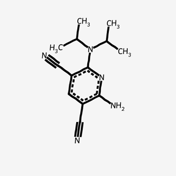 CC(C)N(c1nc(N)c(C#N)cc1C#N)C(C)C